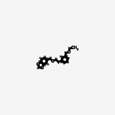 CCOCc1cccc(CCOCc2ccc3c(c2)OCO3)c1